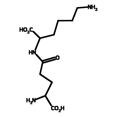 NCCCCC(NC(=O)CCC(N)C(=O)O)C(=O)O